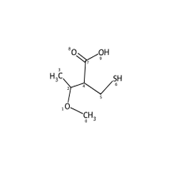 COC(C)C(CS)C(=O)O